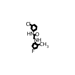 Cc1cc(F)ccc1NCC(=O)Nc1cccc(Cl)c1